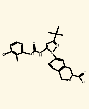 CC(C)(C)c1cc(NC(=O)Nc2cccc(Cl)c2Cl)n(-c2ccc3c(c2)CC(C(=O)O)NC3)n1